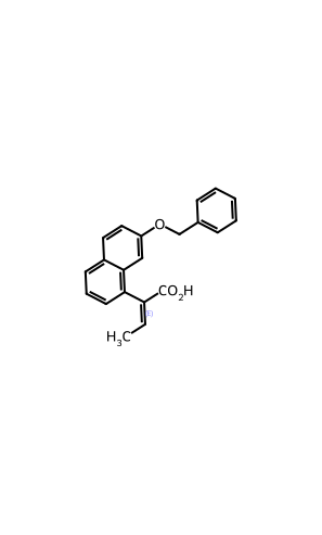 C/C=C(/C(=O)O)c1cccc2ccc(OCc3ccccc3)cc12